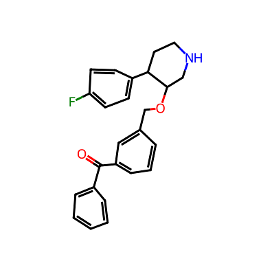 O=C(c1ccccc1)c1cccc(COC2CNCCC2c2ccc(F)cc2)c1